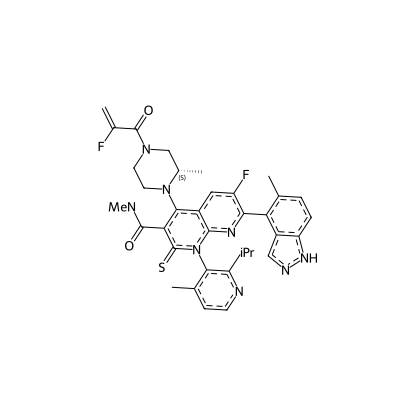 C=C(F)C(=O)N1CCN(c2c(C(=O)NC)c(=S)n(-c3c(C)ccnc3C(C)C)c3nc(-c4c(C)ccc5[nH]ncc45)c(F)cc23)[C@@H](C)C1